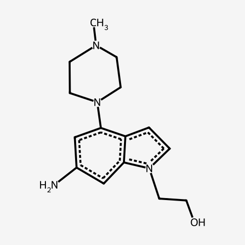 CN1CCN(c2cc(N)cc3c2ccn3CCO)CC1